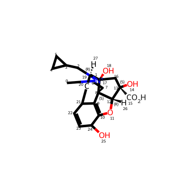 C[N+]1(CC2CC2)CC[C@]23C4=C5O[C@H]2[C@](O)(C(=O)O)C[C@@]3(O)[C@H]1CC4C=CC5O